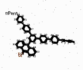 CC#CC#Cc1ccc(-c2ccc(-c3cc(-c4ccc(-c5ccc(CCCCC)cc5)cc4)cc(-c4c5ccccc5c(Br)c5ccccc45)c3)cc2)cc1